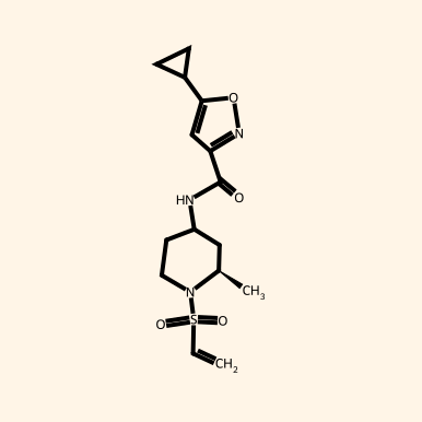 C=CS(=O)(=O)N1CCC(NC(=O)c2cc(C3CC3)on2)C[C@H]1C